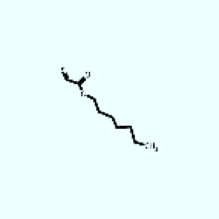 CCCCCCCOC(=O)[C]=S